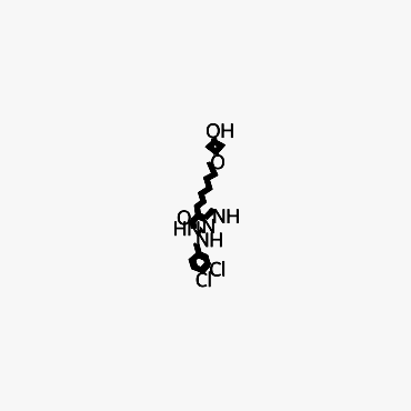 N=Cc1nc(NCc2ccc(Cl)c(Cl)c2)[nH]c(=O)c1CCCCCCCOC1CC(O)C1